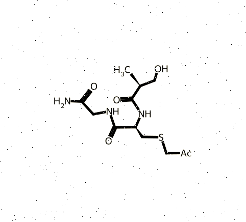 CC(=O)CSC[C@H](NC(=O)[C@@H](C)CO)C(=O)NCC(N)=O